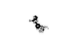 CC(C)(C)C[Si](C)(C)Oc1cccc(-c2nc(Br)c3sccc3n2)c1